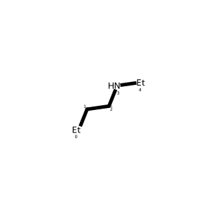 [CH2]CC[CH]NCC